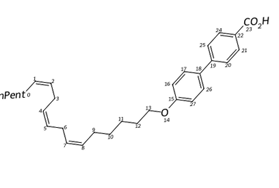 CCCCC/C=C\C/C=C\C/C=C\CCCCCOc1ccc(-c2ccc(C(=O)O)cc2)cc1